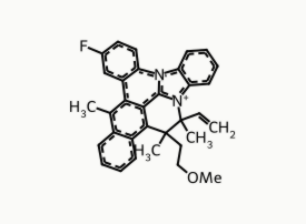 C=CC1(C)[n+]2c3ccccc3n3c4ccc(F)cc4c4c(C)c5ccccc5c(c4c32)C1(C)CCOC